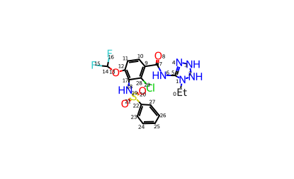 CCN1NNN=C1NC(=O)c1ccc(OC(F)F)c(NS(=O)(=O)c2ccccc2)c1Cl